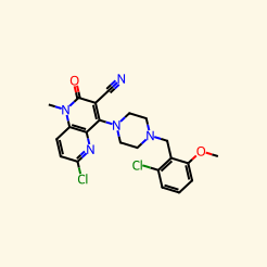 COc1cccc(Cl)c1CN1CCN(c2c(C#N)c(=O)n(C)c3ccc(Cl)nc23)CC1